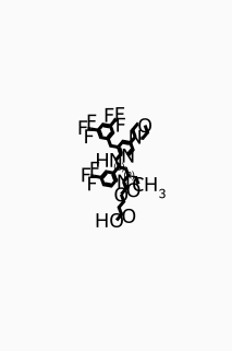 CC[C@@H]1C[C@H](Nc2ncc(N3CCOCC3)cc2Cc2cc(C(F)(F)F)cc(C(F)(F)F)c2)c2cc(C(F)(F)F)ccc2N1C(=O)OCCC(=O)O